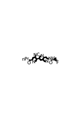 CCCC(=O)c1cc(C)c(-c2cc3cnc(NC(=O)[C@@H]4C[C@@H]4F)cc3nc2C#N)cn1